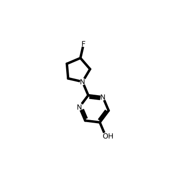 Oc1cnc(N2CCC(F)C2)nc1